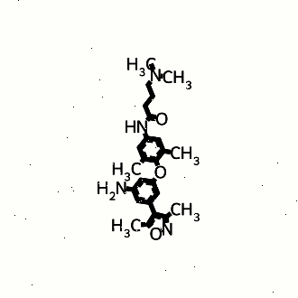 Cc1cc(NC(=O)CCCN(C)C)cc(C)c1Oc1cc(N)cc(-c2c(C)noc2C)c1